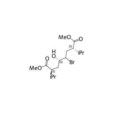 COC(=O)[C@@H](CC(Br)[C@@H](O)C[C@H](C(=O)OC)C(C)C)C(C)C